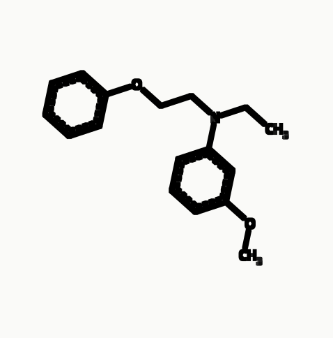 CCN(CCOc1ccccc1)c1cccc(OC)c1